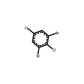 Clc1cc(Br)c(Cl)c(Br)c1